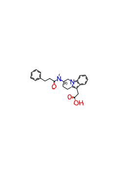 CN(C(=O)CCc1ccccc1)[C@@H]1CCc2c(CC(=O)O)c3ccccc3n2C1